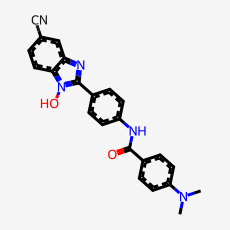 CN(C)c1ccc(C(=O)Nc2ccc(-c3nc4cc(C#N)ccc4n3O)cc2)cc1